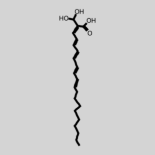 CCCCCCCCCC=CC=CC=CC=CC=C(C(=O)O)C(O)O